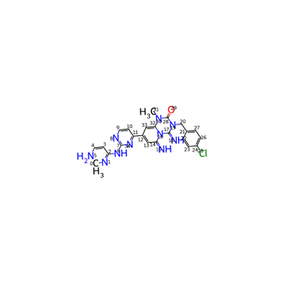 C/N=C(\C=C/N)Nc1nccc(-c2cc(=N)n3c(=N)n(Cc4ccc(Cl)cc4)c(=O)n(C)c3c2)n1